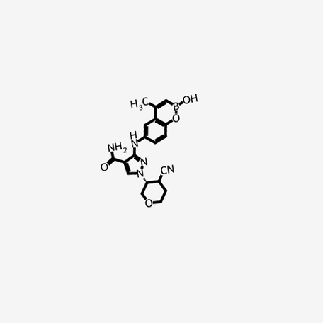 CC1=CB(O)Oc2ccc(Nc3nn([C@H]4COCCC4C#N)cc3C(N)=O)cc21